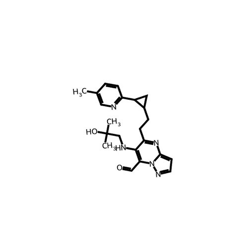 Cc1ccc(C2CC2CCc2nc3ccnn3c(C=O)c2NCC(C)(C)O)nc1